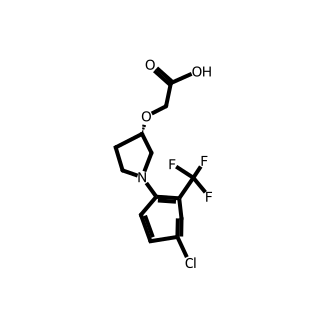 O=C(O)CO[C@H]1CCN(c2ccc(Cl)cc2C(F)(F)F)C1